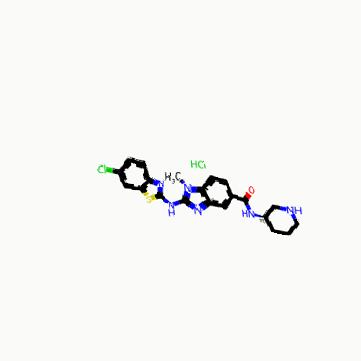 Cl.Cn1c(Nc2nc3ccc(Cl)cc3s2)nc2cc(C(=O)N[C@@H]3CCCNC3)ccc21